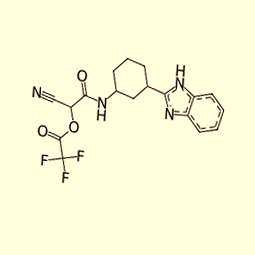 N#CC(OC(=O)C(F)(F)F)C(=O)NC1CCCC(c2nc3ccccc3[nH]2)C1